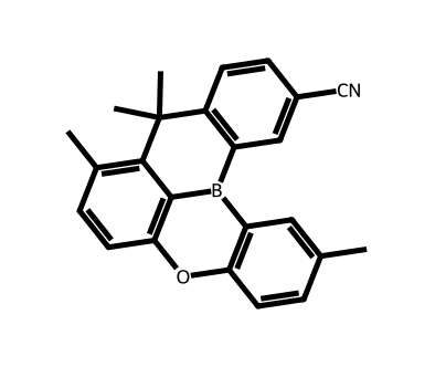 Cc1ccc2c(c1)B1c3cc(C#N)ccc3C(C)(C)c3c(C)ccc(c31)O2